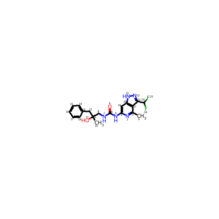 Cc1nc(NC(=O)NCC(C)(O)Cc2ccccc2)cc2[nH]nc(C(F)F)c12